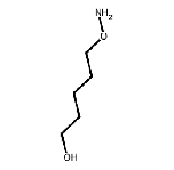 NOCCCCCO